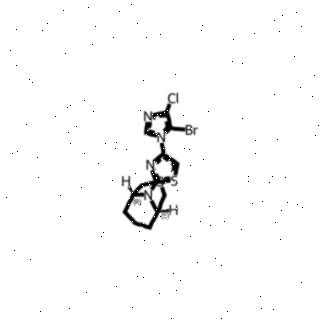 Clc1ncn(-c2csc(N3[C@@H]4CCC[C@H]3COC4)n2)c1Br